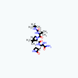 CC(C)(C)NC(=O)NC(C(=O)N1C[C@H]2C([C@H]1C(=O)N[C@@H](C[C@@H]1CCNC1=O)C(=N)C(N)=O)C2(C)C)C(C)(C)C